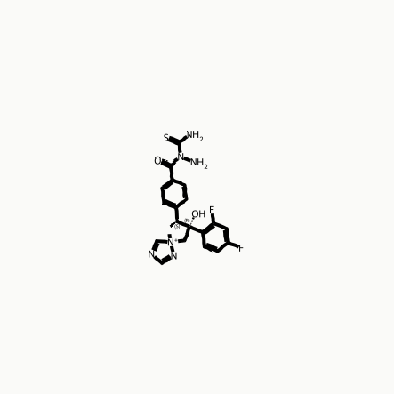 C[C@@H](c1ccc(C(=O)N(N)C(N)=S)cc1)[C@](O)(C[N+]1(C)C=NC=N1)c1ccc(F)cc1F